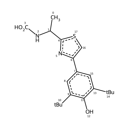 CC(NC(=O)O)c1nc(-c2cc(C(C)(C)C)c(O)c(C(C)(C)C)c2)cs1